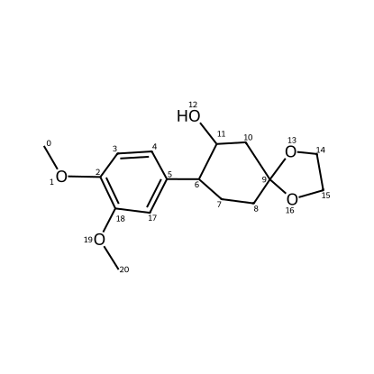 COc1ccc(C2CCC3(CC2O)OCCO3)cc1OC